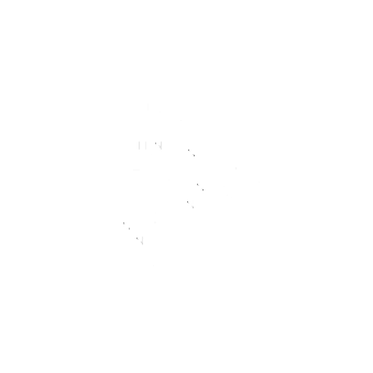 C/C=C(\N)Nc1c(C)c(C2=CN(C)NC2)nn1-c1ccccc1